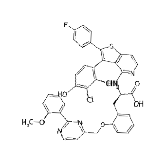 COc1ccccc1-c1nccc(COc2ccccc2C[C@@H](Nc2nccc3sc(-c4ccc(F)cc4)c(-c4ccc(O)c(Cl)c4C)c23)C(=O)O)n1